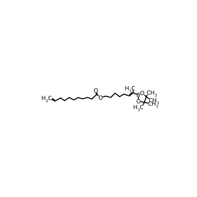 C=CCCCCCCCCC(=O)OCCCCCC=C(C)B1OC(C)(C)C(C)(C)O1